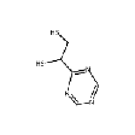 SCC(S)c1ncncn1